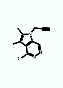 C#CCn1c(C)c(C)c2c(Cl)nncc21